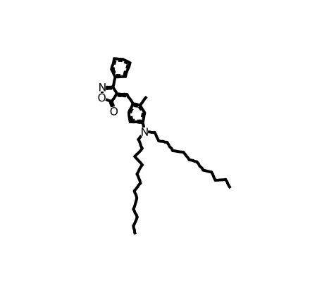 CCCCCCCCCCCCN(CCCCCCCCCCCC)c1ccc(C=C2C(=O)ON=C2c2ccccc2)c(C)c1